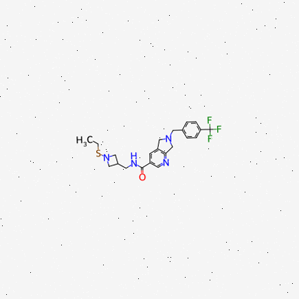 CCSN1CC(CNC(=O)c2cnc3c(c2)CN(Cc2ccc(C(F)(F)F)cc2)C3)C1